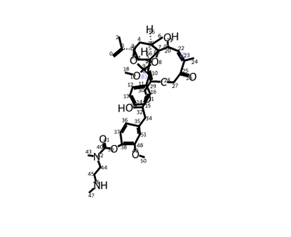 C=C(C)[C@@]12C[C@@H](C)[C@]3(O[C@](Cc4ccccc4)(OC)O1)[C@@H](O)/C=C(/C)C(=O)CC/C(COC(O)Cc1ccc(OC(=O)N(C)CCNC)c(OC)c1)=C\[C@H]3C2